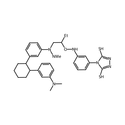 CCC(CN(NC)c1cccc(C2CCCCC2c2cccc(N(C)C)c2)c1)ONc1cccc(-n2c(S)nnc2S)c1